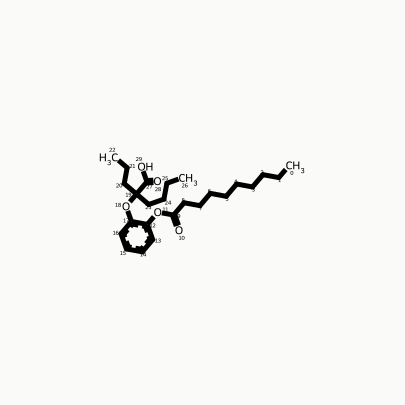 CCCCCCCCCC(=O)Oc1ccccc1OC(CCC)(CCCC)C(=O)O